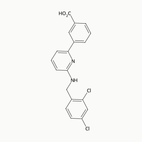 O=C(O)c1cccc(-c2cccc(NCc3ccc(Cl)cc3Cl)n2)c1